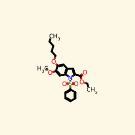 CCCCCOc1cc2cc(C(=O)OCC)n(S(=O)(=O)c3ccccc3)c2cc1OC